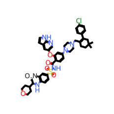 CC(Nc1ccc(S(=O)(=O)NC(=O)c2ccc(N3CCN(CC4=C(c5ccc(Cl)cc5)CC(C)(C)CC4)CC3)cc2Oc2cnc3[nH]ccc3c2)cc1[N+](=O)[O-])C1CCOCC1